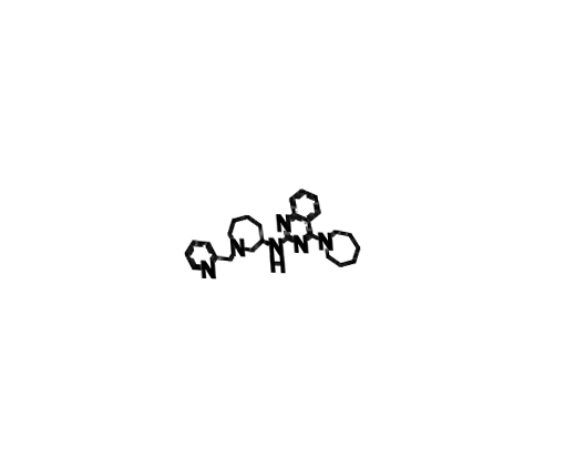 c1ccc(CN2CCCC[C@@H](Nc3nc(N4CCCCCC4)c4ccccc4n3)C2)nc1